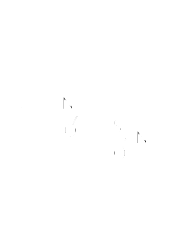 O=C(CCSC(=O)N1CCCC2CCCCC21)N1CCCC2CCCCC21